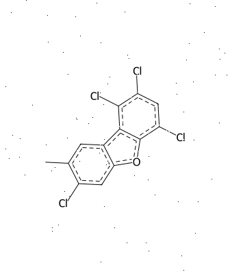 Cc1cc2c(cc1Cl)oc1c(Cl)cc(Cl)c(Cl)c12